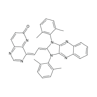 Cc1cccc(C)c1N1C(=C/C=c2/ncnc3c2=NC(=O)C=C3)N(c2c(C)cccc2C)c2nc3ccccc3nc21